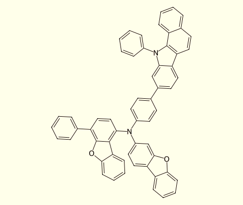 c1ccc(-c2ccc(N(c3ccc(-c4ccc5c6ccc7ccccc7c6n(-c6ccccc6)c5c4)cc3)c3ccc4c(c3)oc3ccccc34)c3c2oc2ccccc23)cc1